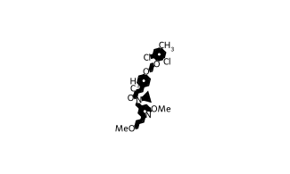 COCCCc1cc(CN(C(=O)C(C)Cc2ccc(OCCOc3c(Cl)cc(C)cc3Cl)cc2)C2CC2)cc(OC)n1